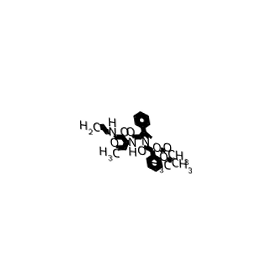 C=CCNC(=O)C(=O)C(CCC)NC(=O)C1C(c2ccccc2)CN1C(=O)C(OC(=O)OC(C)(C)C)C1CCCCC1